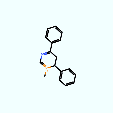 C[PH]1=CN=C(c2ccccc2)CC1c1ccccc1